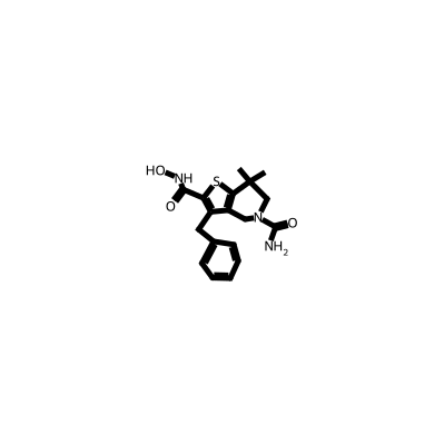 CC1(C)CN(C(N)=O)Cc2c1sc(C(=O)NO)c2Cc1ccccc1